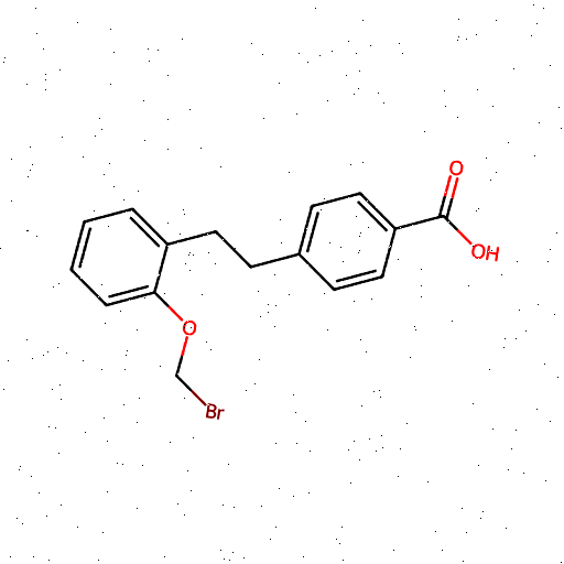 O=C(O)c1ccc(CCc2ccccc2OCBr)cc1